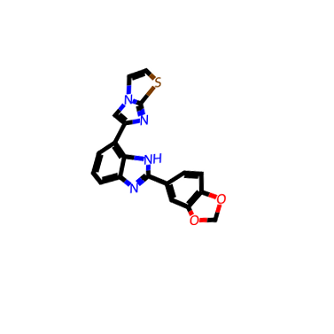 c1cc(-c2cn3ccsc3n2)c2[nH]c(-c3ccc4c(c3)OCO4)nc2c1